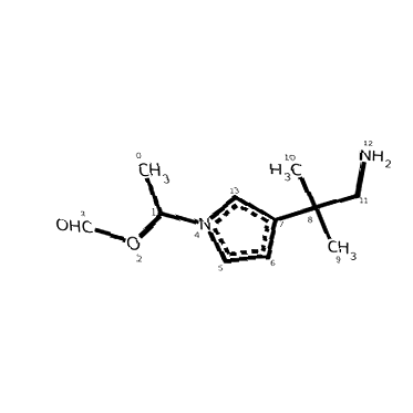 CC(OC=O)n1ccc(C(C)(C)CN)c1